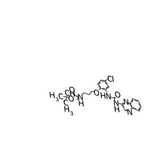 CC(C)(C)OC(=O)NCCCOc1ccc(Cl)cc1NC(=O)Nc1cnc2ccccc2n1